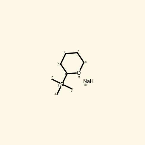 C[Si](C)(C)C1CCCCO1.[NaH]